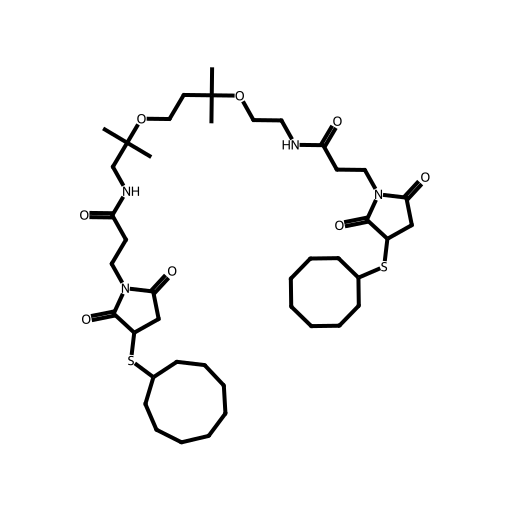 CC(C)(CCOC(C)(C)CNC(=O)CCN1C(=O)CC(SC2CCCCCCCC2)C1=O)OCCNC(=O)CCN1C(=O)CC(SC2CCCCCCC2)C1=O